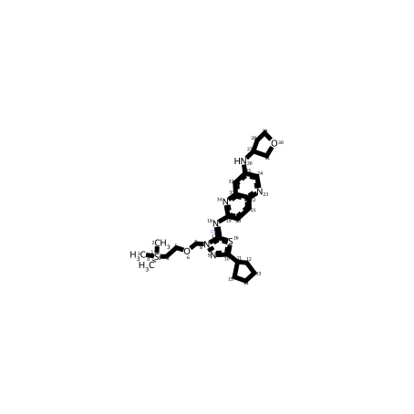 C[Si](C)(C)CCOCn1nc(C2CCCC2)s/c1=N\c1ccc2ncc(NC3CCOC3)cc2n1